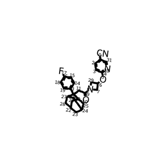 N#Cc1ccc(OC2CN(C(=O)CC3(c4ccc(F)cc4)C4CC5CC(C4)CC3C5)C2)nc1